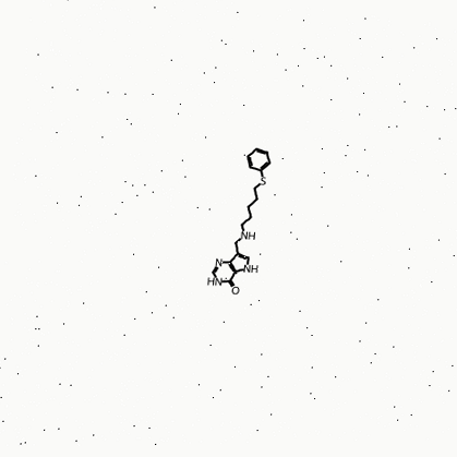 O=c1[nH]cnc2c(CNCCCCCSc3ccccc3)c[nH]c12